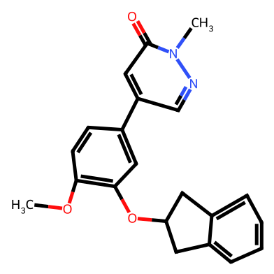 COc1ccc(-c2cnn(C)c(=O)c2)cc1OC1Cc2ccccc2C1